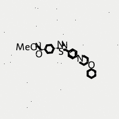 CON(C)C(=O)[C@H]1CC[C@H](c2nnc(-c3ccc(N4CCC(OC5CCCCC5)CC4)cc3)s2)CC1